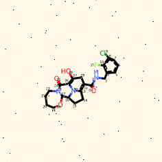 O=C(NCc1cccc(Cl)c1F)C1=C2CCC3C4OCCCCN4C(=O)C(=C(O)C1)N23